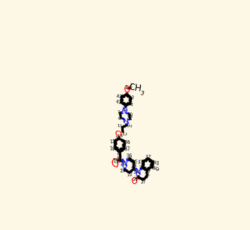 COc1ccc(N2CCN(CCCOc3ccc(C(=O)N4CCC(N5C(=O)CCc6ccccc65)CC4)cc3)CC2)cc1